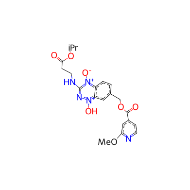 COc1cc(C(=O)OCc2ccc3c(c2)[n+](O)nc(NCCC(=O)OC(C)C)[n+]3[O-])ccn1